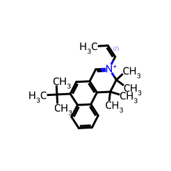 C/C=C\[N+]1=Cc2cc(C(C)(C)C)c3ccccc3c2C(C)(C)C1(C)C